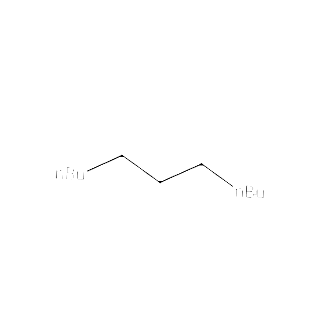 C[CH]CCCCCCC[CH]C